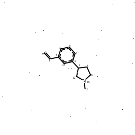 C=Cc1cccc(C2CCN(C)C2)c1